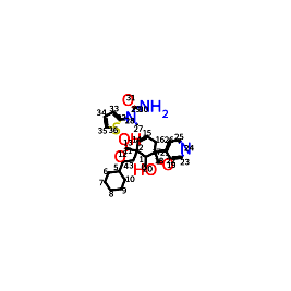 CC1C(CCC2CCCCC2)(C(=O)O)C=CCC1(C(=O)O)c1ccncc1.CN(C(N)=O)c1cccs1